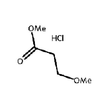 COCCC(=O)OC.Cl